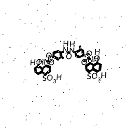 Cc1cc(S(=O)(=O)Nc2ccc(S(=O)(=O)O)c3cccc(O)c23)ccc1NC(=O)Nc1ccc(S(=O)(=O)Nc2ccc(S(=O)(=O)O)c3cccc(O)c23)cc1C